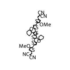 COc1cc(C=C(C#N)C#N)sc1-c1cc2c(s1)-c1sc3c4c(sc3c1C1(CCCCC1)O2)-c1sc(-c2sc(C=C(C#N)C#N)cc2OC)cc1OC41CCCCC1